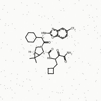 CC1(C)C2[C@@H](C(=O)NC(CC3CCC3)C(=O)C(N)=O)N(C(=O)[C@@H](Nc3nc4cc(C(F)(F)F)ccc4o3)C3CCCCC3)C[C@@H]21